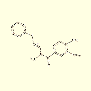 COc1cc(C(=O)N(C)/C=C/Sc2ccccc2)ccc1OC(C)=O